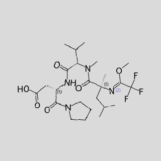 CO/C(=N\[C@@](C)(CC(C)C)C(=O)N(C)C(C(=O)N[C@@H](CC(=O)O)C(=O)N1CCCC1)C(C)C)C(F)(F)F